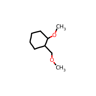 COCC1CCCCC1OC